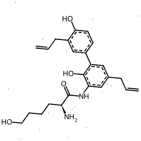 C=CCc1cc(NC(=O)[C@@H](N)CCCCO)c(O)c(-c2ccc(O)c(CC=C)c2)c1